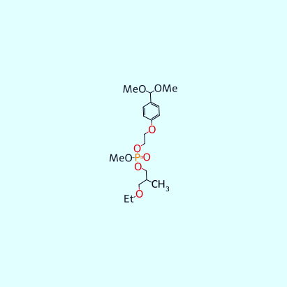 CCOCC(C)COP(=O)(OC)OCCOc1ccc(C(OC)OC)cc1